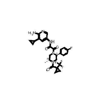 C[C@@H]1CN(C(=O)C(=O)Nc2cnc(N)c(C3CC3)c2)[C@@H](c2ccc(F)cc2)CN1C(=O)C1(C(F)(F)F)CC1